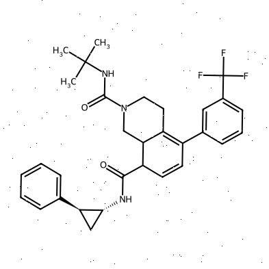 CC(C)(C)NC(=O)N1CCC2=C(c3cccc(C(F)(F)F)c3)C=CC(C(=O)N[C@@H]3C[C@H]3c3ccccc3)C2C1